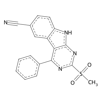 CS(=O)(=O)c1nc(-c2ccccc2)c2c(n1)[nH]c1ccc(C#N)cc12